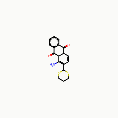 NC1=C(C2SCCCS2)C=CC2C(=O)c3ccccc3C(=O)C12